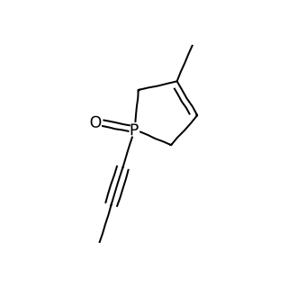 CC#CP1(=O)CC=C(C)C1